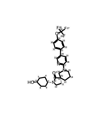 O=C1N([C@H]2CC[C@H](O)CC2)CC[C@]12CCCN(c1ccc(-c3ccc(OC(F)(F)F)cc3)cn1)C2